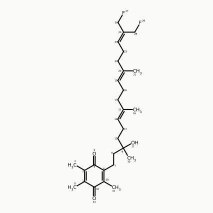 CC1=C(C)C(=O)C(CCC(C)(O)CC/C=C(\C)CC/C=C(\C)CCC=C(CF)CF)=C(C)C1=O